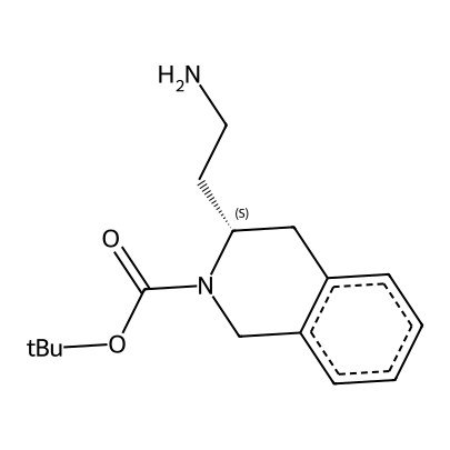 CC(C)(C)OC(=O)N1Cc2ccccc2C[C@H]1CCN